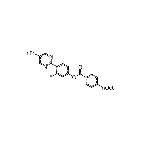 CCCCCCCCc1ccc(C(=O)Oc2ccc(-c3ncc(CCC)cn3)c(F)c2)cc1